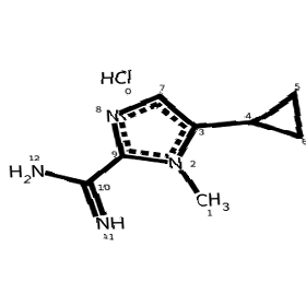 Cl.Cn1c(C2CC2)cnc1C(=N)N